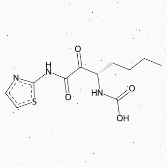 CCCC[C@H](NC(=O)O)C(=O)C(=O)Nc1nccs1